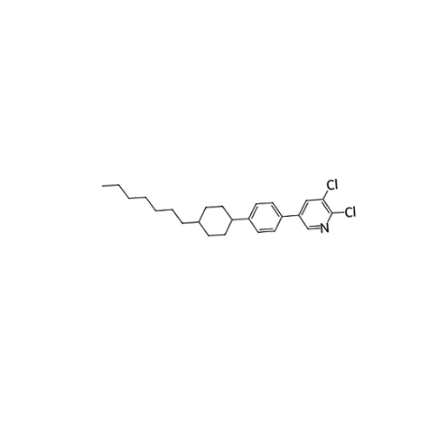 CCCCCCCC1CCC(c2ccc(-c3cnc(Cl)c(Cl)c3)cc2)CC1